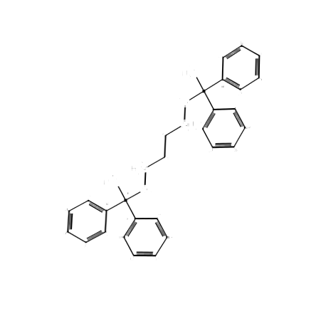 CC(O[SiH2]CC[SiH2]OC(C)(c1ccccc1)c1ccccc1)(c1ccccc1)c1ccccc1